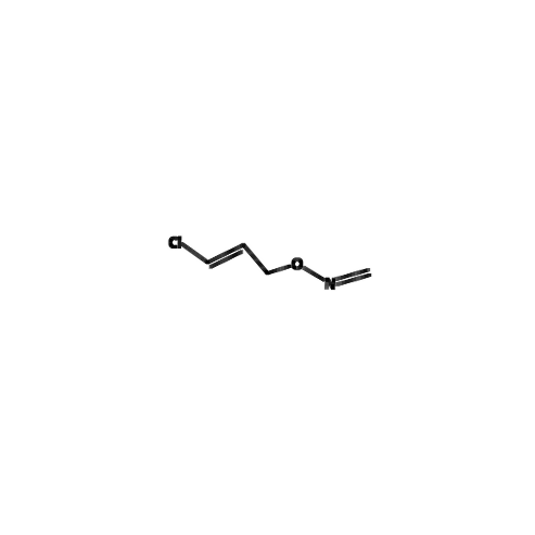 C=NOCC=CCl